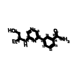 CCC(CO)Nc1cncc(-c2cccc(C(N)=O)c2)n1